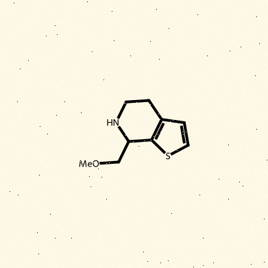 COCC1NCCc2ccsc21